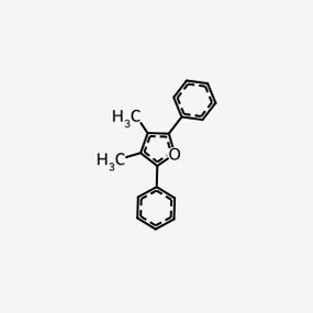 Cc1c(-c2ccccc2)oc(-c2ccccc2)c1C